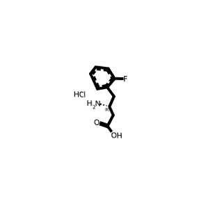 Cl.N[C@@H](CC(=O)O)Cc1ccccc1F